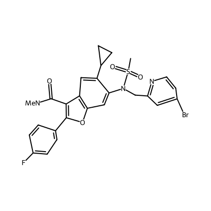 CNC(=O)c1c(-c2ccc(F)cc2)oc2cc(N(Cc3cc(Br)ccn3)S(C)(=O)=O)c(C3CC3)cc12